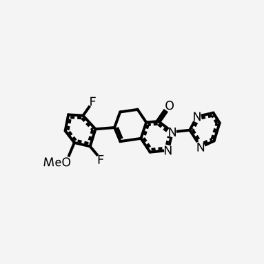 COc1ccc(F)c(C2=Cc3cnn(-c4ncccn4)c(=O)c3CC2)c1F